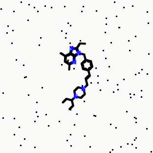 CCc1nc2c(C)cc(C)nc2n1Cc1ccc(C=CCN2CCN(C(CC)CC)CC2)cc1